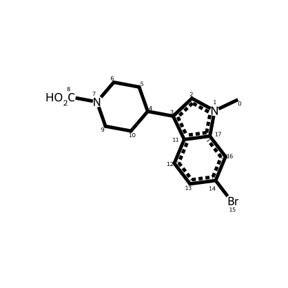 Cn1cc(C2CCN(C(=O)O)CC2)c2ccc(Br)cc21